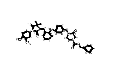 CC1(C)C(=O)N(c2ccc(C#N)c(C(F)(F)F)c2)C(=O)N1Cc1ccccc1Nc1ccc(CN2CCN(C(=O)OCc3ccccc3)CC2=O)cc1